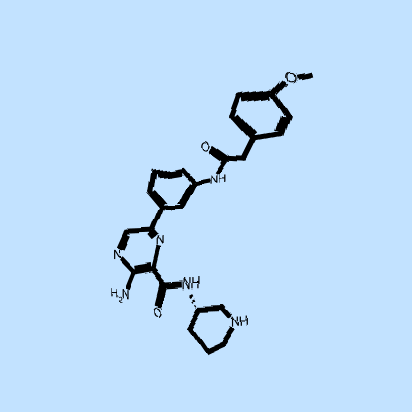 COc1ccc(CC(=O)Nc2cccc(-c3cnc(N)c(C(=O)N[C@H]4CCCNC4)n3)c2)cc1